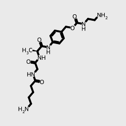 C[C@H](NC(=O)CNC(=O)CCCCN)C(=O)Nc1ccc(COC(=O)NCCN)cc1